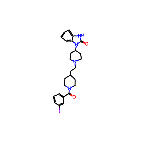 O=C(c1cccc(I)c1)N1CCC(CCN2CCC(n3c(=O)[nH]c4ccccc43)CC2)CC1